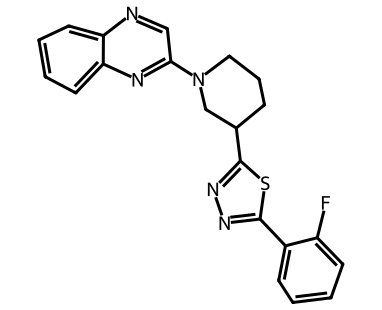 Fc1ccccc1-c1nnc(C2CCCN(c3cnc4ccccc4n3)C2)s1